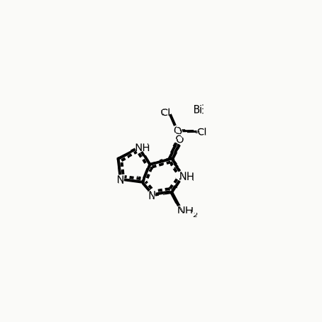 ClOCl.Nc1nc2nc[nH]c2c(=O)[nH]1.[Bi]